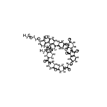 COCCOc1ccc(C(N)=O)c(-c2cc(C(CNC3CCC(C(=O)N4CCC(OC5CCN(C(=O)COc6ccc7c(c6)C(=O)N(C6CCC(=O)NC6=O)C7=O)CC5)CC4)CC3)c3ccccc3)ccc2Cl)c1F